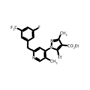 CCOC(=O)c1c(C)nn(-c2cc(Cc3cc(F)cc(C(F)(F)F)c3)ncc2C)c1CC